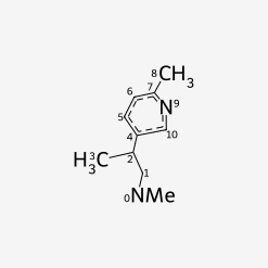 CNCC(C)c1ccc(C)nc1